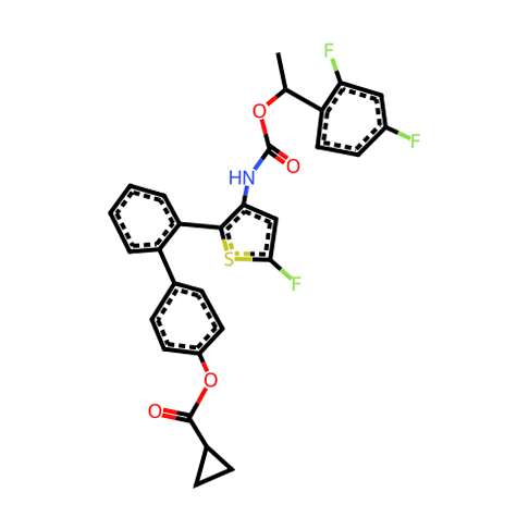 CC(OC(=O)Nc1cc(F)sc1-c1ccccc1-c1ccc(OC(=O)C2CC2)cc1)c1ccc(F)cc1F